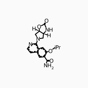 CC(C)Oc1cc2c(N3C[C@@H]4OC(=O)N[C@@H]4C3)nccc2cc1C(N)=O